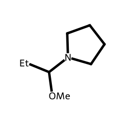 CCC(OC)N1CCCC1